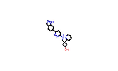 O[C@H]1C[C@](CNc2ccc(-c3ccc4cn[nH]c4c3)nn2)(c2ccccn2)C1